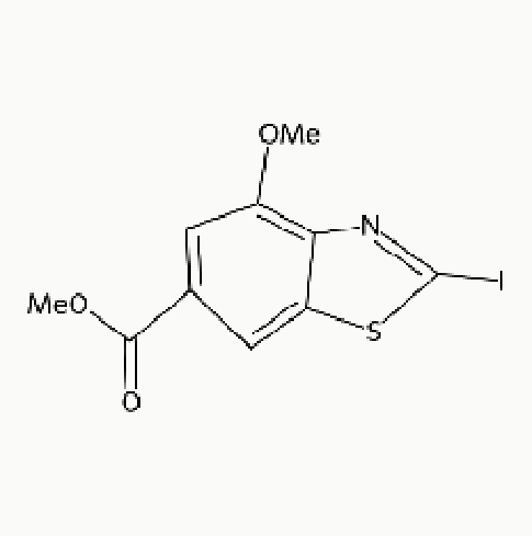 COC(=O)c1cc(OC)c2nc(I)sc2c1